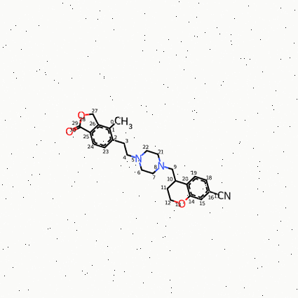 Cc1c(CCN2CCN(CC3CCOc4cc(C#N)ccc43)CC2)ccc2c1COC2=O